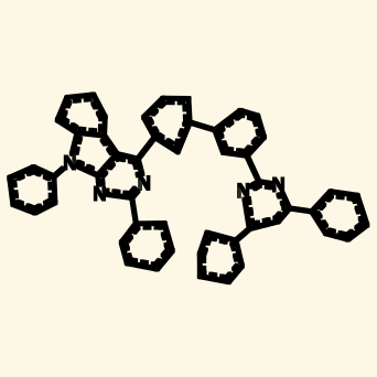 c1ccc(-c2cc(-c3ccccc3)nc(-c3cccc(-c4cccc(-c5nc(-c6ccccc6)nc6c5c5ccccc5n6-c5ccccc5)c4)c3)n2)cc1